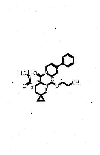 CCCOC(=O)N1CC2(CC2)C[C@H](C(=O)NO)[C@H]1C(=O)N1CC=C(c2ccccc2)CC1